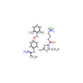 Cl.NCCCC(=O)N1CC(=S)C[C@H]1C(=O)O.N[C@@H](Cc1ccc(OCc2c(Cl)cccc2Cl)cc1)C(=O)O